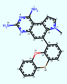 Cn1ccc2c3c(N)nc(N)nc3cc(-c3cccc4c3Oc3ccccc3S4)c21